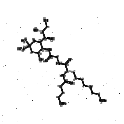 COCCOCCSC[C@H](NC(=O)OCCOC)C(=O)NCC(=O)NC1C(O)CC(C)(C(=O)O)OC1[C@H](O)[C@H](O)CO